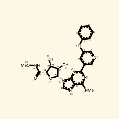 CNc1nc(-c2cncc(Oc3ccccc3)c2)nc2c1ncn2[C@@H]1O[C@H](C(=O)NOC)[C@@H](O)[C@H]1O